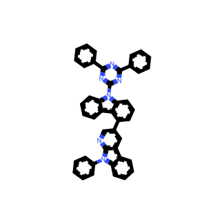 c1ccc(-c2nc(-c3ccccc3)nc(-n3c4ccccc4c4c(-c5cnc6c(c5)c5ccccc5n6-c5ccccc5)cccc43)n2)cc1